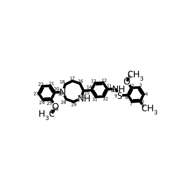 COc1ccc(C)cc1SNc1ccc(C2CCCN(c3ccccc3OC)CCN2)cc1